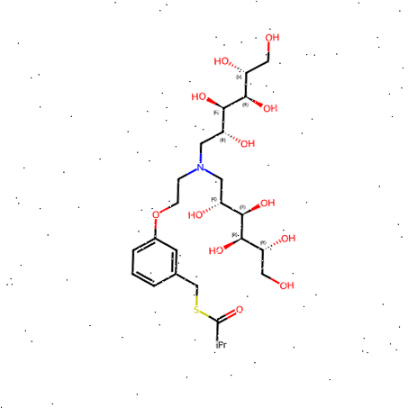 CC(C)C(=O)SCc1cccc(OCCN(C[C@@H](O)[C@@H](O)[C@H](O)[C@H](O)CO)C[C@@H](O)[C@@H](O)[C@H](O)[C@H](O)CO)c1